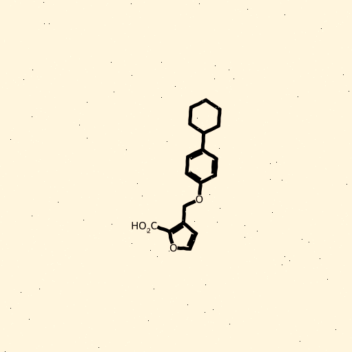 O=C(O)c1occc1COc1ccc(C2CCCCC2)cc1